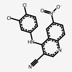 N#Cc1cnc2ccc([N+](=O)[O-])cc2c1Nc1ccc(Cl)c(Cl)c1